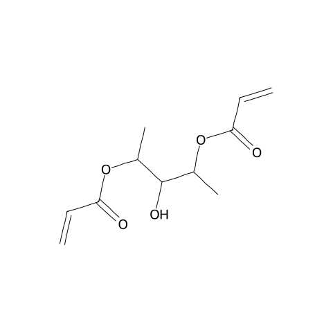 C=CC(=O)OC(C)C(O)C(C)OC(=O)C=C